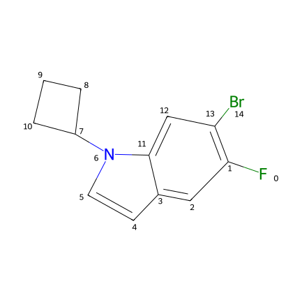 Fc1cc2ccn(C3CCC3)c2cc1Br